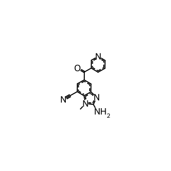 Cn1c(N)nc2cc(C(=O)c3cccnc3)cc(C#N)c21